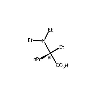 CCC[C@@](CC)(C(=O)O)N(CC)CC